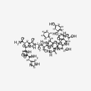 C[C@@H](O)[C@H](NC(=O)CNC(=O)[C@H](CCC(N)=O)NC(=O)[C@H](CO)NC(=O)[C@@H](N)Cc1c[nH]cn1)C(=O)N[C@@H](Cc1ccccc1)C(=O)N[C@H](C(=O)N[C@@H](CO)C(=O)N[C@@H](CC(=O)O)C(=O)N[C@@H](Cc1ccc(O)cc1)C(=O)O)[C@@H](C)O